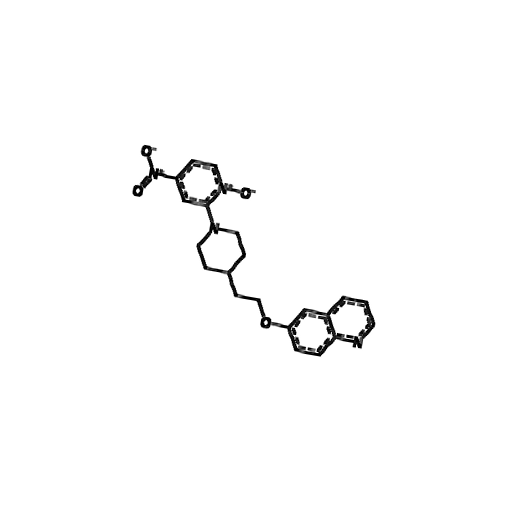 O=[N+]([O-])c1cc[n+]([O-])c(N2CCC(CCOc3ccc4ncccc4c3)CC2)c1